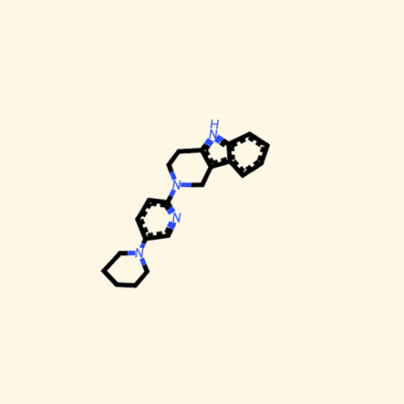 c1ccc2c3c([nH]c2c1)CCN(c1ccc(N2CCCCC2)cn1)C3